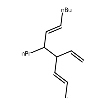 [CH2]C=CC(C=C)C(C=CCCCC)CCC